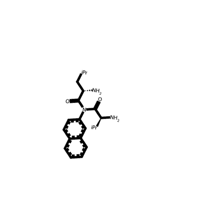 CC(C)C[C@H](N)C(=O)N(C(=O)[C@@H](N)C(C)C)c1ccc2ccccc2c1